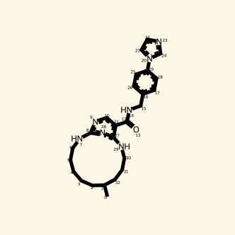 CC1CCCCCNc2ncc(C(=O)NCc3ccc(-n4ccnc4)cc3)c(n2)NCCC1